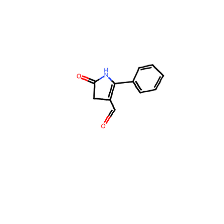 O=CC1=C(c2ccccc2)NC(=O)C1